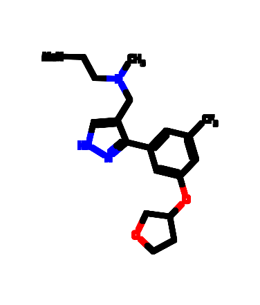 CNCCN(C)Cc1c[nH]nc1-c1cc(OC2CCOC2)cc(C(F)(F)F)c1